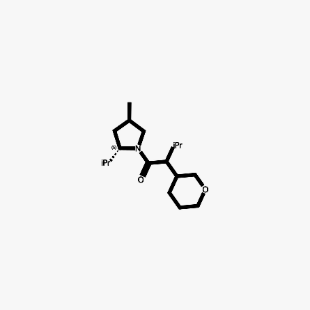 CC1C[C@@H](C(C)C)N(C(=O)C(C(C)C)C2CCCOC2)C1